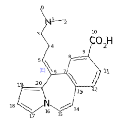 CN(C)CC/C=C1\c2cc(C(=O)O)ccc2C=Cn2cccc21